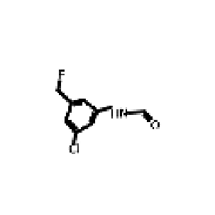 O=CNCc1cc(Cl)cc(CF)c1